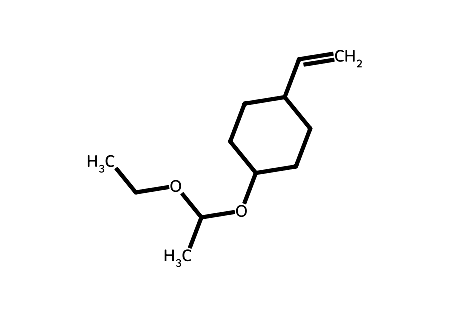 C=CC1CCC(OC(C)OCC)CC1